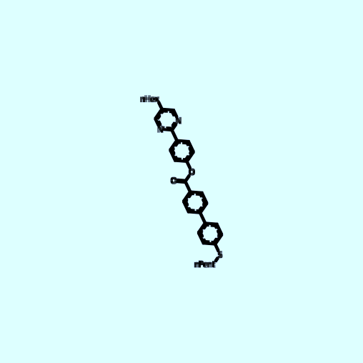 CCCCCCc1cnc(-c2ccc(OC(=O)c3ccc(-c4ccc(SCCCCC)cc4)cc3)cc2)nc1